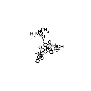 Cc1cc(OCCCc2ccc3c(c2)C(=O)NCC(=O)N3c2ccc(C[C@@]3(C(=O)Oc4ccccc4)NC3(C=O)CC=O)cc2-c2ccccc2)nc(N)n1.O=C(O)C(F)(F)F